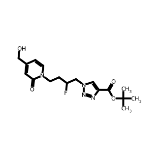 CC(C)(C)OC(=O)c1cn(CC(F)CCn2ccc(CO)cc2=O)nn1